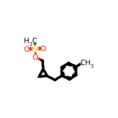 Cc1ccc(CC2CC2COS(C)(=O)=O)cc1